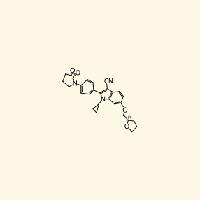 N#Cc1c(-c2ccc(N3CCCS3(=O)=O)cc2)n(C2CC2)c2cc(OC[C@H]3CCCO3)ccc12